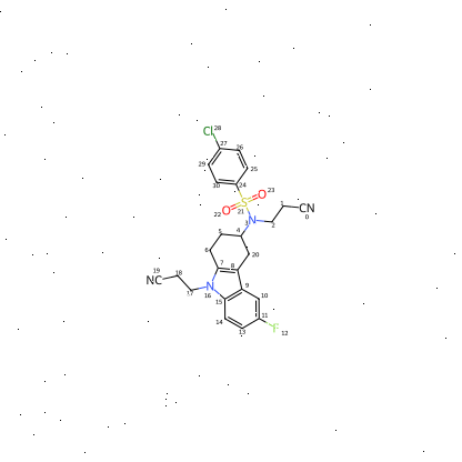 N#CCCN(C1CCc2c(c3cc(F)ccc3n2CCC#N)C1)S(=O)(=O)c1ccc(Cl)cc1